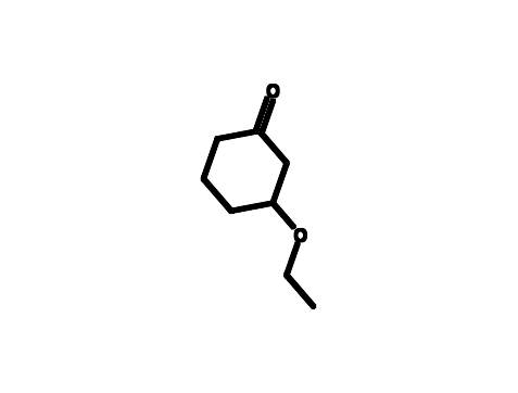 CCOC1CCCC(=O)C1